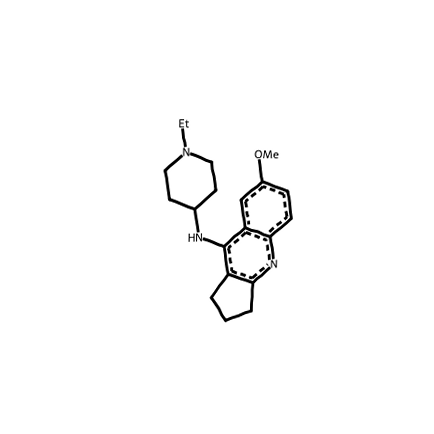 CCN1CCC(Nc2c3c(nc4ccc(OC)cc24)CCC3)CC1